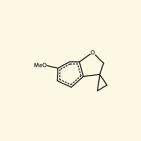 COc1ccc2c(c1)OCC21CC1